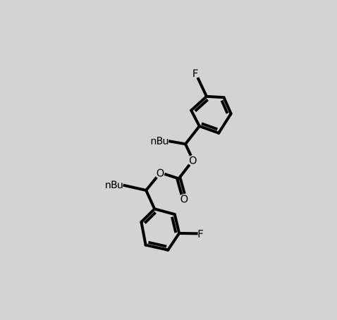 CCCCC(OC(=O)OC(CCCC)c1cccc(F)c1)c1cccc(F)c1